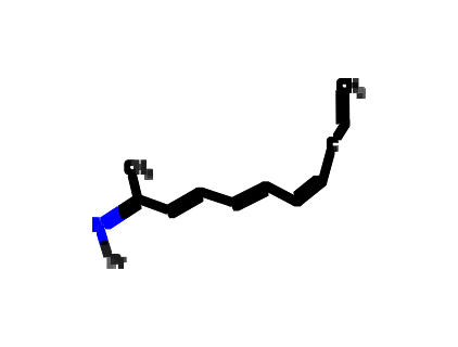 C=CC\C=C/C=C/C=C/C(C)=N\C(C)C